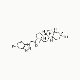 C[C@@]1(O)CC[C@H]2[C@H](CC[C@@H]3[C@@H]2CC[C@]2(C)[C@@H](C(=O)Cn4nnc5cc(F)ccc54)CC[C@@H]32)C1